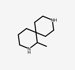 CC1NCCCC12CCNCC2